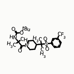 CC(C)(C)OC(=O)NC(C)(C)C(=O)N1CCC(C(C)(C)S(=O)(=O)c2cccc(C(F)(F)F)c2)CC1